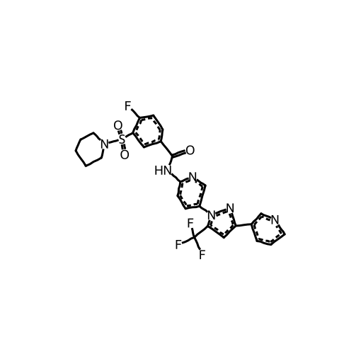 O=C(Nc1ccc(-n2nc(-c3cccnc3)cc2C(F)(F)F)cn1)c1ccc(F)c(S(=O)(=O)N2CCCCC2)c1